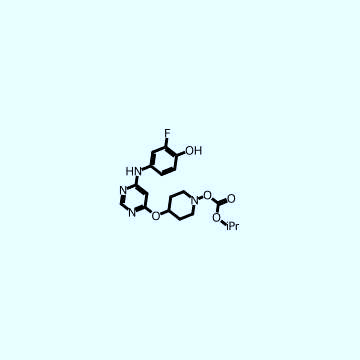 CC(C)OC(=O)ON1CCC(Oc2cc(Nc3ccc(O)c(F)c3)ncn2)CC1